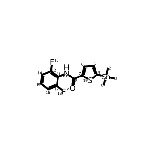 [CH3][Sn]([CH3])([CH3])[c]1ccc(C(=O)Nc2c(F)cccc2F)s1